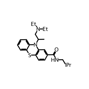 CCN(CC)CC(C)N1c2ccccc2Sc2ccc(C(=O)NCC(C)C)cc21